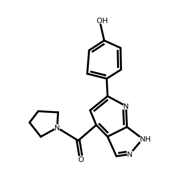 O=C(c1cc(-c2ccc(O)cc2)nc2[nH]ncc12)N1CCCC1